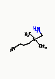 CCCCC[Si](C)(C)CN